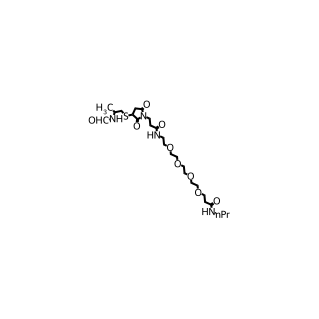 CCCNC(=O)CCOCCOCCOCCOCCNC(=O)CCN1C(=O)CC(SCC(C)NC=O)C1=O